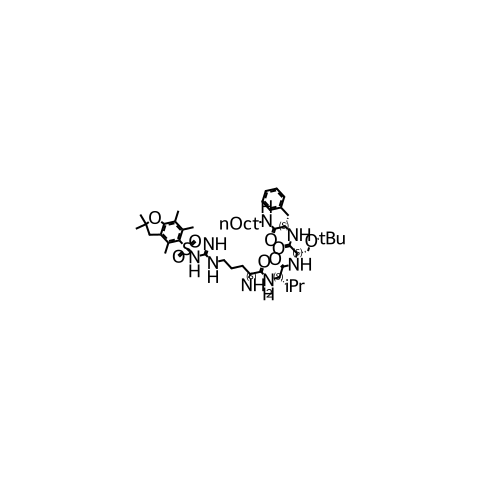 CCCCCCCCNC(=O)[C@H](Cc1ccccc1)NC(=O)[C@H](COC(C)(C)C)NC(=O)[C@@H](NC(=O)[C@@H](N)CCCNC(=N)NS(=O)(=O)c1c(C)c(C)c2c(c1C)CC(C)(C)O2)C(C)C